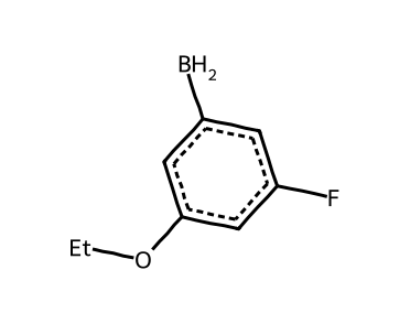 Bc1cc(F)cc(OCC)c1